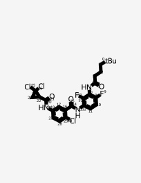 CC(C)(C)CCCC(=O)Nc1c(F)ccc(NC(=O)c2cc(NC(=O)C3CC3(Cl)Cl)ccc2Cl)c1F